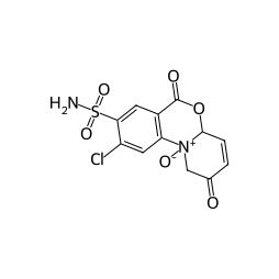 NS(=O)(=O)c1cc2c(cc1Cl)[N+]1([O-])CC(=O)C=CC1OC2=O